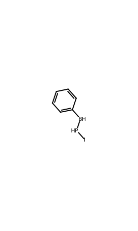 IPBc1ccccc1